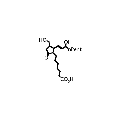 CCCCCC(O)C=CC1C(CO)CC(=O)C1CCCCCCC(=O)O